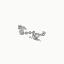 COC(=O)NC(C(=O)N1CCC[C@H]1c1nc(-c2ccc(-c3ccc(-c4cnc([C@@H]5C[C@@H](OC(=O)N6Cc7ccc8c(c7C6)OCO8)CN5C(=O)[C@@H](NC(=O)OC)C(C)C)[nH]4)cc3)cc2)c[nH]1)C(C)C